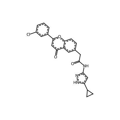 O=C(Cc1ccc2oc(-c3cccc(Cl)c3)cc(=O)c2c1)Nc1cc(C2CC2)[nH]n1